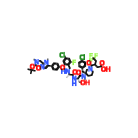 C[C@H](NCc1c(F)cc(Cl)cc1Oc1ccc(-c2cnc(CN(C)C(=O)OC(C)(C)C)n2C)cc1)C(=O)N[C@@H](CO)C(=O)N(C)[C@@]1(Cc2ccc(Cl)cc2)CCCN(C(=O)C(CC(=O)O)CC(F)(F)F)C1